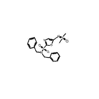 CS(C)(=O)=Nc1cnc(S(=O)(=O)N(Cc2ccccc2)Cc2ccccc2)s1